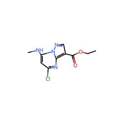 CCOC(=O)c1cnn2c(NC)cc(Cl)nc12